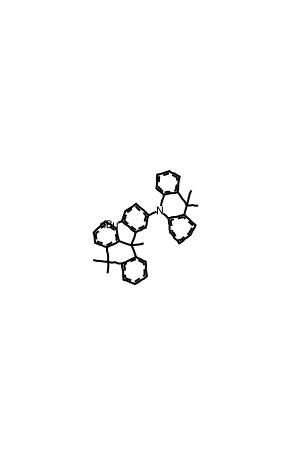 CCCCc1ccc(N2c3ccccc3C(C)(C)c3ccccc32)cc1C1(C)c2ccccc2C(C)(C)c2ccccc21